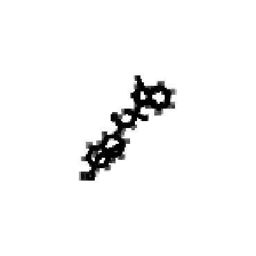 Cn1cc(C(C)(C)CC(=O)N2CC3CCC4(O)CC3CC2C4)c2ccccc21